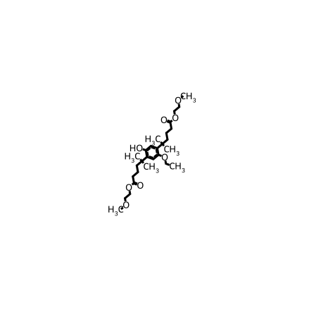 CCOc1cc(C(C)(C)CCCC(=O)OCCOC)c(O)cc1C(C)(C)CCCC(=O)OCCOC